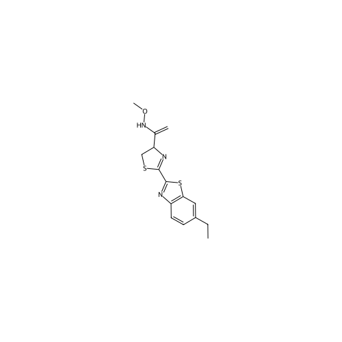 C=C(NOC)C1CSC(c2nc3ccc(CC)cc3s2)=N1